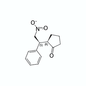 O=C1CCC[C@@H]1[C@H](C[N+](=O)[O-])c1ccccc1